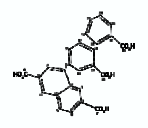 O=C(O)c1ccc2cc(C(=O)O)ccc2c1.O=C(O)c1ccccc1.O=C(O)c1ccccc1